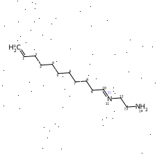 C=CCCCCCCCC/C=N/CCN